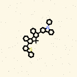 CC1(C)c2cc(-c3ccc4c(c3)c3ccccc3n4-c3ccccc3)c3ccccc3c2-c2c1cc(-c1cccc3c1sc1ccccc13)c1ccccc21